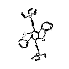 C=C[Si](C#Cc1c2sc3ccccc3c2c(C#C[Si](C=C)(C=C)C=C)c2sc3ccccc3c12)(C=C)C=C